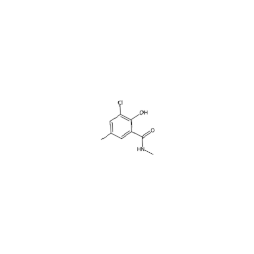 CNC(=O)c1cc(C)cc(Cl)c1O